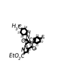 CCOC(=O)c1cc2n(n1)CC(C)(C(=O)NC1CCC(C)CC1)N(c1ccc(F)cc1)C2=O